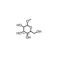 COC1OC(CO)[C@@H](O)[C@@H](O)C1O